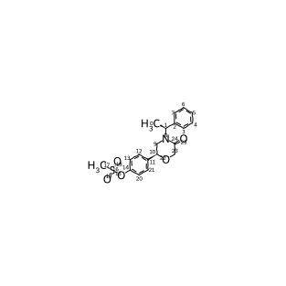 C[C@@H](c1ccccc1)N1C[C@H](c2ccc(OS(C)(=O)=O)cc2)OCC1=O